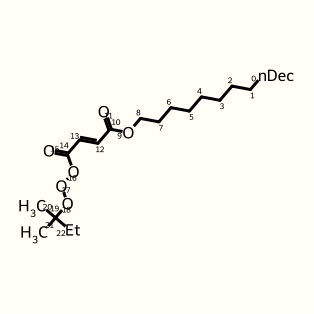 CCCCCCCCCCCCCCCCCCOC(=O)C=CC(=O)OOOC(C)(C)CC